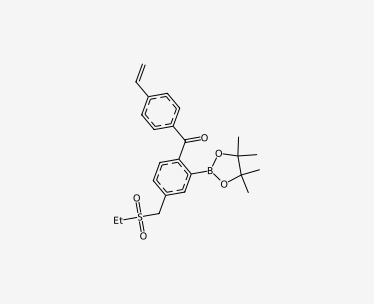 C=Cc1ccc(C(=O)c2ccc(CS(=O)(=O)CC)cc2B2OC(C)(C)C(C)(C)O2)cc1